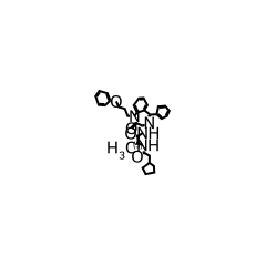 C[C@H](NC(=O)CC1CCCC1)C(=O)NC1N=C(c2ccccc2)c2ccccc2N(CCCOc2ccccc2)C1=O